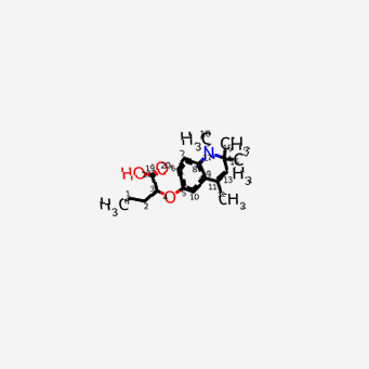 CCCC(Oc1ccc2c(c1)C(C)=CC(C)(C)N2C)C(=O)O